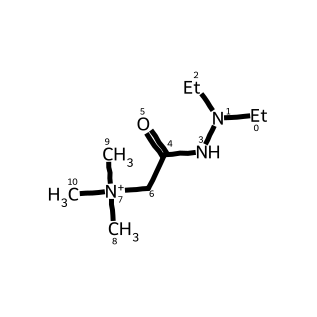 CCN(CC)NC(=O)C[N+](C)(C)C